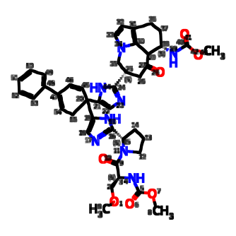 COC[C@H](NC(=O)OC)C(=O)N1CCC[C@H]1c1ncc(C2(c3cnc([C@H]4CC(=O)C5c6c(ccn6C4)CC[C@@H]5NC(=O)OC)[nH]3)C=CC(c3ccccc3)=CC2)[nH]1